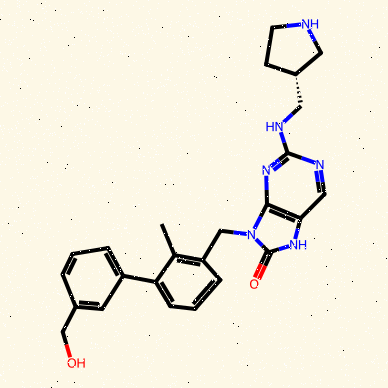 Cc1c(Cn2c(=O)[nH]c3cnc(NC[C@@H]4CCNC4)nc32)cccc1-c1cccc(CO)c1